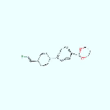 FC=C[C@H]1CC[C@H](c2ccc(C3OCCCO3)cc2)CC1